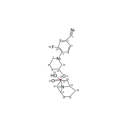 N#Cc1ccc(N2CCCC(OC(=O)N3C4CCCC3CC(O)C4)C2)c(F)c1